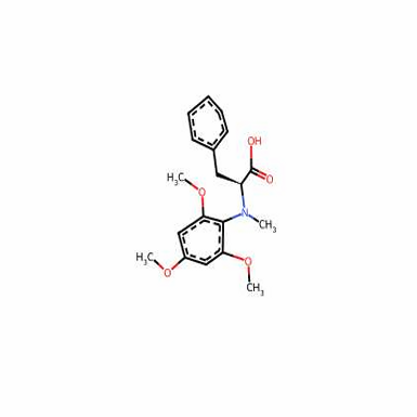 COc1cc(OC)c(N(C)[C@@H](Cc2ccccc2)C(=O)O)c(OC)c1